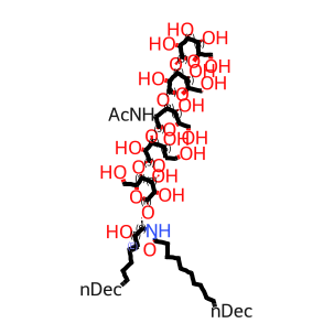 CCCCCCCCCCCCC/C=C/[C@@H](O)[C@H](CO[C@@H]1OC(CO)[C@@H](O[C@@H]2OC(CO)[C@H](O)[C@H](O[C@@H]3OC(CO)[C@@H](O)[C@H](O[C@@H]4OC(CO)[C@H](O)[C@H](O[C@@H]5OC(CO)[C@H](O)[C@H](O)C5O)C4O)C3NC(C)=O)C2O)[C@H](O)C1O)NC(=O)CCCCCCCCCCCCCCCCCCC